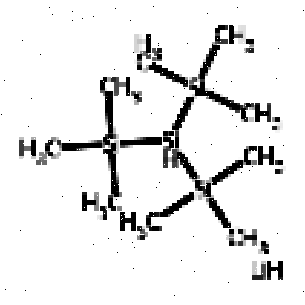 C[Si](C)(C)[SiH]([Si](C)(C)C)[Si](C)(C)C.[LiH]